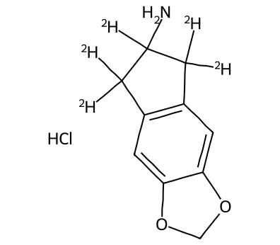 Cl.[2H]C1([2H])c2cc3c(cc2C([2H])([2H])C1([2H])N)OCO3